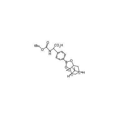 CC(C)(C)OC(=O)NC(C(=O)O)c1ccc(B2OC3C[C@@H]4C[C@@H](C4(C)C)[C@]3(C)O2)cc1